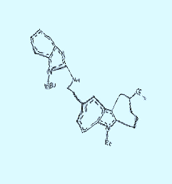 CCCCn1c(NCc2ccc3c(c2)c2c(n3CC)CCC(C(F)(F)F)C2)nc2ccccc21